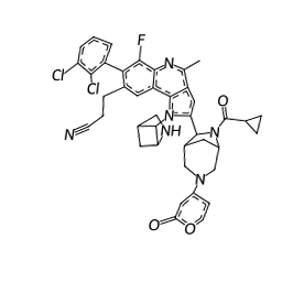 Cc1nc2c(F)c(-c3cccc(Cl)c3Cl)c(CCC#N)cc2c2c1cc(C1C3CC(CN(c4ccoc(=O)c4)C3)N1C(=O)C1CC1)n2C1C2CNC1C2